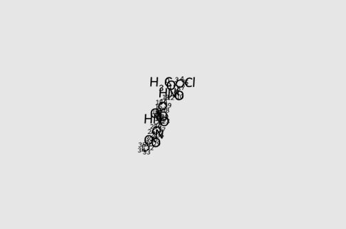 COc1ccc(Cl)cc1C(=O)NCCc1ccc(S(=O)(=O)NC(=O)c2ccc(C(=O)OC3CCCC3)nc2)cc1